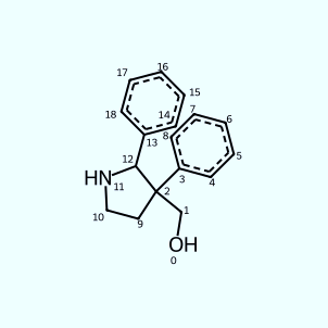 OCC1(c2ccccc2)CCNC1c1ccccc1